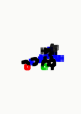 C=CC(=O)N1CCC(n2nc(N3C[C@@H]4C[C@H]3CN4C(C)=O)c(-c3c(Cl)c(C)cc4[nH]ncc34)c2C)CC1